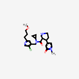 COCCCc1cc(CN(C(=O)C2CNCCC2c2ccn(C)c(=O)c2)C2CC2)c(Cl)cn1